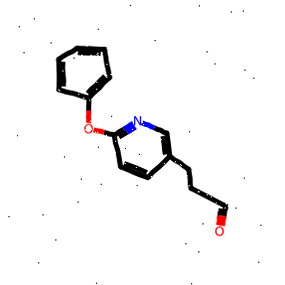 O=CCCc1ccc(Oc2ccccc2)nc1